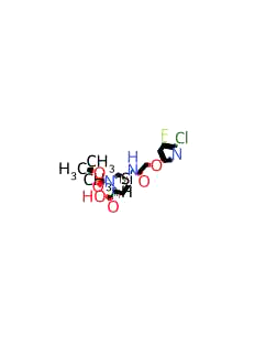 CC(C)(C)OC(=O)N1C[Si@@H](NC(=O)COc2cnc(Cl)c(F)c2)CC[C@@H]1C(=O)O